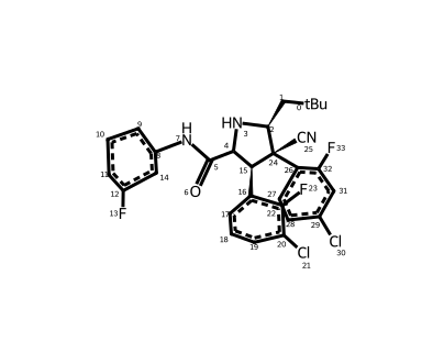 CC(C)(C)C[C@@H]1NC(C(=O)Nc2cccc(F)c2)[C@H](c2cccc(Cl)c2F)[C@@]1(C#N)c1ccc(Cl)cc1F